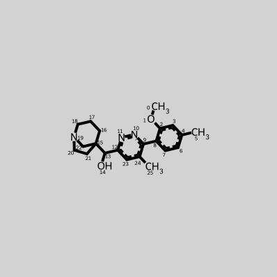 COc1cc(C)ccc1-c1nnc(C(O)C23CCCN(CC2)C3)cc1C